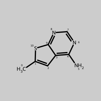 Cc1cc2c(N)ncnc2s1